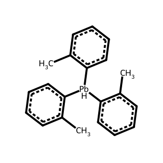 Cc1cccc[c]1[PbH]([c]1ccccc1C)[c]1ccccc1C